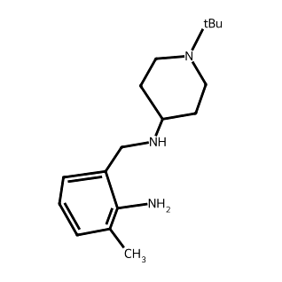 Cc1cccc(CNC2CCN(C(C)(C)C)CC2)c1N